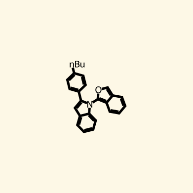 CCCCc1ccc(-c2cc3ccccc3n2-c2occ3ccccc23)cc1